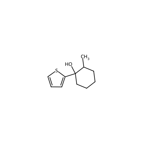 CC1CCCCC1(O)c1cccs1